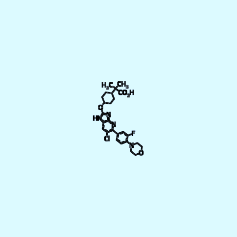 CC(C)(C(=O)O)C1CCC(Oc2nc3nc(-c4ccc(N5CCOCC5)c(F)c4)c(Cl)cc3[nH]2)CC1